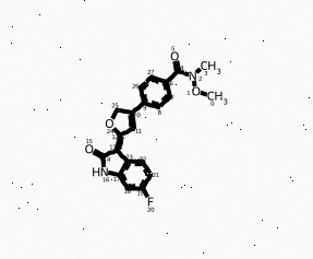 CON(C)C(=O)c1ccc(C2=CC(=C3C(=O)Nc4cc(F)ccc43)OC2)cc1